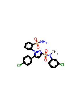 CN(c1cccc(Cl)c1)S(=O)(=O)c1cc(-c2ccc(Cl)cc2)n(-c2ccccc2S(N)(=O)=O)n1